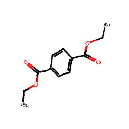 CCC(C)COC(=O)c1ccc(C(=O)OCC(C)CC)cc1